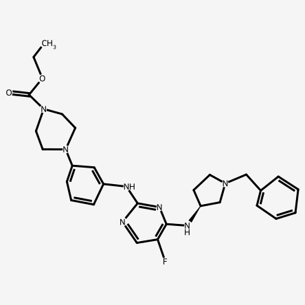 CCOC(=O)N1CCN(c2cccc(Nc3ncc(F)c(N[C@H]4CCN(Cc5ccccc5)C4)n3)c2)CC1